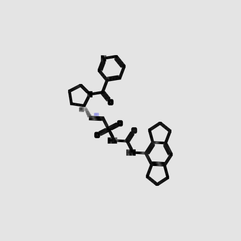 O=C(Nc1c2c(cc3c1CCC3)CCC2)NS(=O)(=O)/C=C/[C@@H]1CCCN1C(=O)c1cccnc1